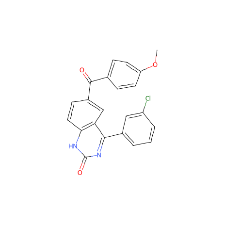 COc1ccc(C(=O)c2ccc3[nH]c(=O)nc(-c4cccc(Cl)c4)c3c2)cc1